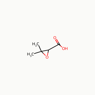 CC1(C)OC1C(=O)O